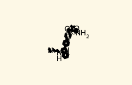 CC(C)C(OC(N)=O)C(=O)N1CCN(c2ccc(-c3cc(NCCCN(C)C)c4ccccc4n3)cc2)CC1